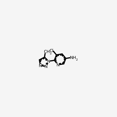 Cc1cnnn1-c1ncc(N)cc1Cl